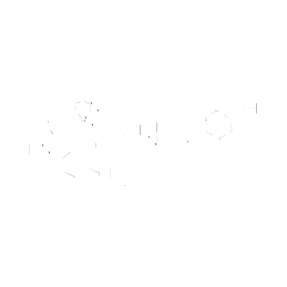 C=C1C=CC2=C(C1OCC(O)CNCCOc1ccc(O)cc1)C(c1ccn[nH]1)C(=O)N2